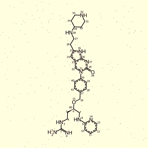 N=C(N)NCC[C@H](CNc1ccccn1)OCc1ccc(-n2cc3cc(CCNC4CCNCC4)[nH]c3nc2=O)cc1